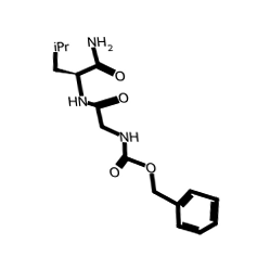 CC(C)C[C@H](NC(=O)CNC(=O)OCc1ccccc1)C(N)=O